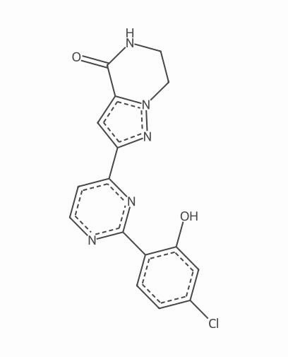 O=C1NCCn2nc(-c3ccnc(-c4ccc(Cl)cc4O)n3)cc21